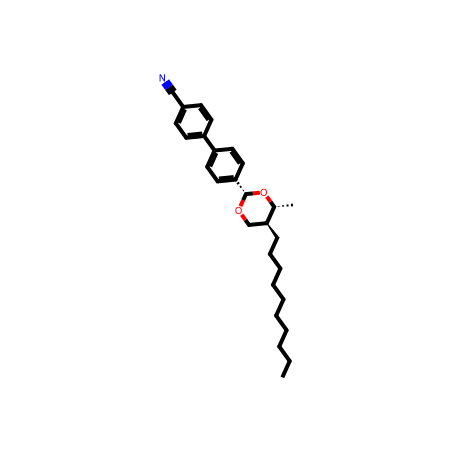 CCCCCCCCCC[C@H]1CO[C@H](c2ccc(-c3ccc(C#N)cc3)cc2)O[C@@H]1C